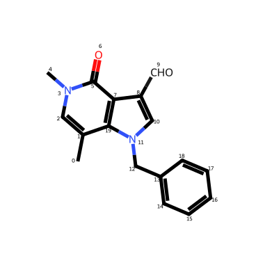 Cc1cn(C)c(=O)c2c(C=O)cn(Cc3ccccc3)c12